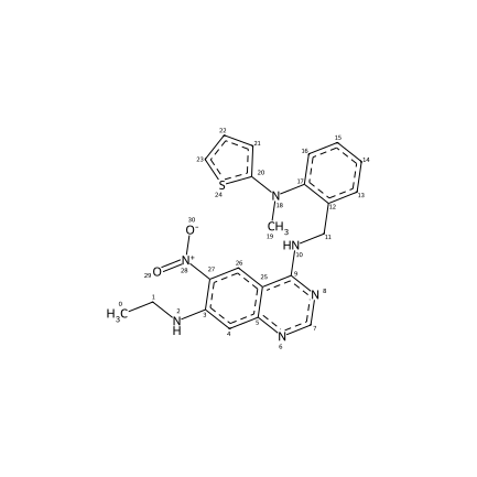 CCNc1cc2ncnc(NCc3ccccc3N(C)c3cccs3)c2cc1[N+](=O)[O-]